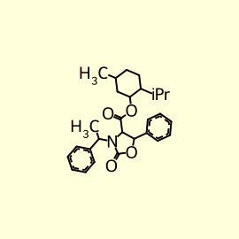 CC1CCC(C(C)C)C(OC(=O)C2C(c3ccccc3)OC(=O)N2C(C)c2ccccc2)C1